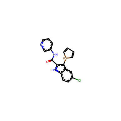 O=C(Nc1cccnc1)c1[nH]c2ccc(Cl)cc2c1[SH]1C=CC=C1